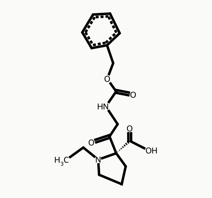 CCN1CCC[C@]1(C(=O)O)C(=O)CNC(=O)OCc1ccccc1